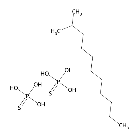 CCCCCCCCCC(C)C.OP(O)(O)=S.OP(O)(O)=S